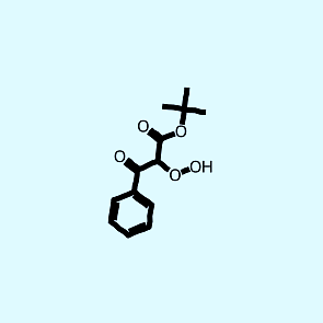 CC(C)(C)OC(=O)C(OO)C(=O)c1ccccc1